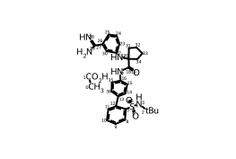 CC(=O)O.CC(C)(C)NS(=O)(=O)c1ccccc1-c1ccc(NC(=O)C2(Nc3cccc(C(=N)N)c3)CCCC2)cc1